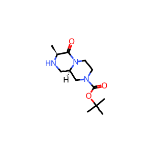 C[C@@H]1NC[C@@H]2CN(C(=O)OC(C)(C)C)CCN2C1=O